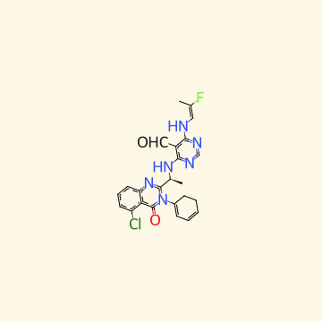 C/C(F)=C\Nc1ncnc(N[C@@H](C)c2nc3cccc(Cl)c3c(=O)n2C2=CC=CCC2)c1C=O